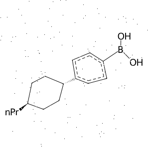 CCC[C@H]1CC[C@H](c2ccc(B(O)O)cc2)CC1